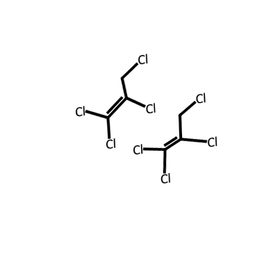 ClCC(Cl)=C(Cl)Cl.ClCC(Cl)=C(Cl)Cl